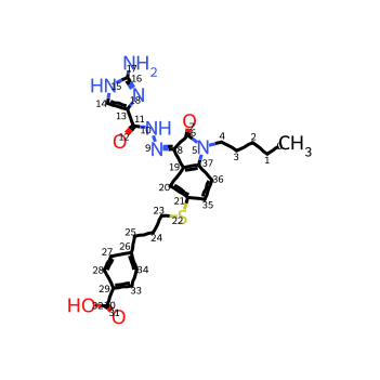 CCCCCN1C(=O)C(=NNC(=O)c2c[nH]c(N)n2)c2cc(SCCCc3ccc(C(=O)O)cc3)ccc21